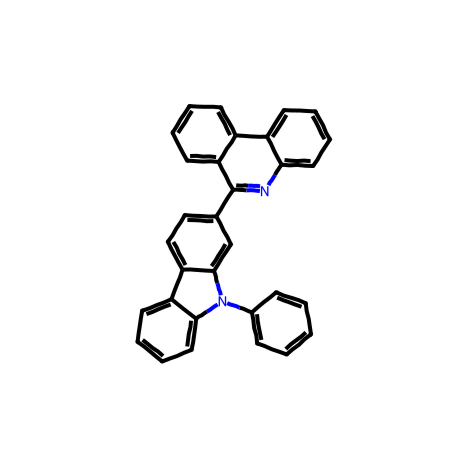 c1ccc(-n2c3ccccc3c3ccc(-c4nc5ccccc5c5ccccc45)cc32)cc1